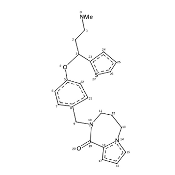 CNCCC(Oc1ccc(CN2CCCn3cccc3C2=O)cc1)c1cccs1